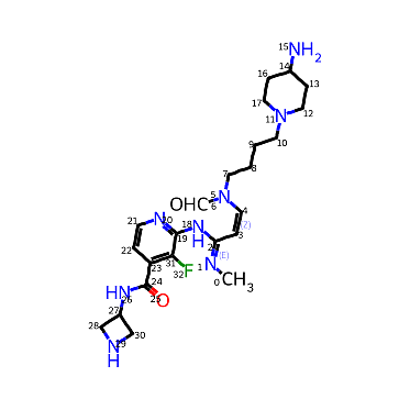 C/N=C(\C=C/N(C=O)CCCCN1CCC(N)CC1)Nc1nccc(C(=O)NC2CNC2)c1F